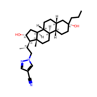 CCC[C@@]1(O)CC[C@H]2[C@H](CC[C@@H]3[C@@H]2CC[C@]2(C)[C@@H]([C@@H](C)Cn4cc(C#N)cn4)[C@H](O)C[C@@H]32)C1